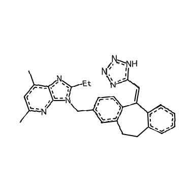 CCc1nc2c(C)cc(C)nc2n1Cc1ccc2c(c1)CCc1ccccc1/C2=C/c1nnn[nH]1